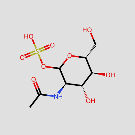 CC(=O)N[C@H]1C(OS(=O)(=O)O)O[C@H](CO)[C@@H](O)[C@@H]1O